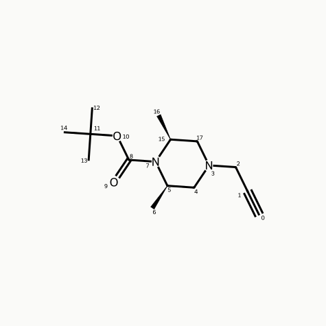 C#CCN1C[C@@H](C)N(C(=O)OC(C)(C)C)[C@@H](C)C1